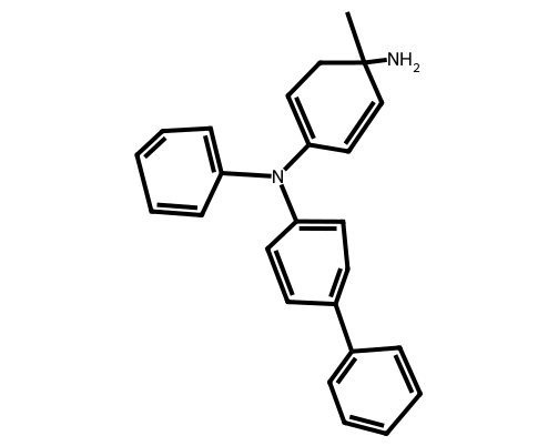 CC1(N)C=CC(N(c2ccccc2)c2ccc(-c3ccccc3)cc2)=CC1